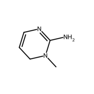 CN1CC=CN=C1N